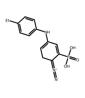 CCc1ccc(NC2=CCC(=[N+]=[N-])C(P(=O)(O)O)=C2)cc1